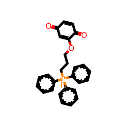 O=C1C=CC(=O)C(OCCC[PH](c2ccccc2)(c2ccccc2)c2ccccc2)=C1